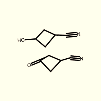 N#CC1CC(=O)C1.N#CC1CC(O)C1